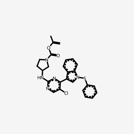 C=C(C)OC(=O)N1CCC(Nc2ncc(Cl)c(-c3cn(Sc4ccccc4)c4ccccc34)n2)C1